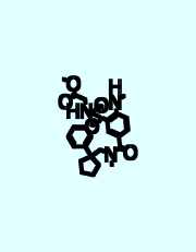 CNc1ccc(C(=O)N(C)CC2(c3ccccc3)CCCC2)cc1S(=O)(=O)NCC(=O)OC